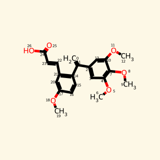 C=C(c1cc(OC)c(OC)c(OC)c1)c1ccc(OC)cc1/C=C/C(=O)O